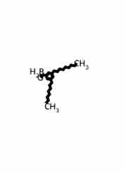 BC(=O)c1cc(CCCCCCCCC)cc(CCCCCCCCC)c1